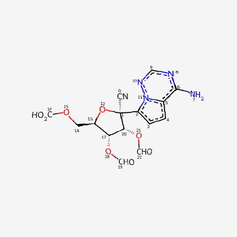 N#C[C@@]1(c2ccc3c(N)ncnn23)O[C@H](COC(=O)O)[C@@H](OC=O)[C@H]1OC=O